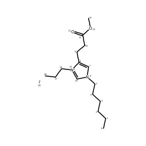 CCCCCCn1cc(CCC(=O)OC)[n+](CCC)c1.[I-]